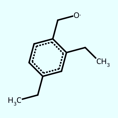 CCc1ccc(C[O])c(CC)c1